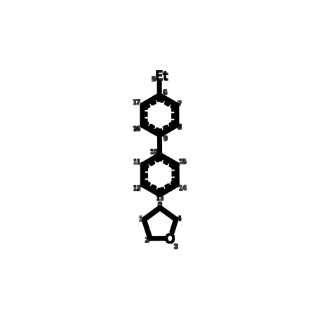 C1CCOC1.CCc1ccc(-c2ccccc2)cc1